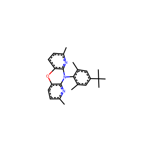 Cc1ccc2c(n1)N(c1c(C)cc(C(C)(C)C)cc1C)c1nc(C)ccc1O2